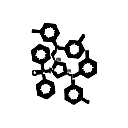 Cc1cccc(P(C[C@@H]2C[C@H](P(c3cccc(C)c3)c3cccc(C)c3)CN2P(=O)(c2ccccc2)c2ccccc2)c2cccc(C)c2)c1